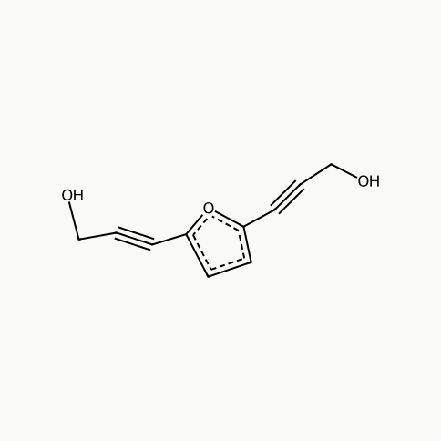 OCC#Cc1ccc(C#CCO)o1